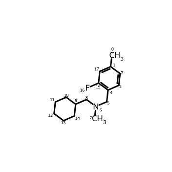 Cc1ccc(CN(C)CC2CCCCC2)c(F)c1